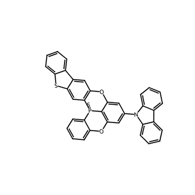 S=P12c3ccccc3Oc3cc(-n4c5ccccc5c5ccccc54)cc(c31)Oc1cc3c(cc12)sc1ccccc13